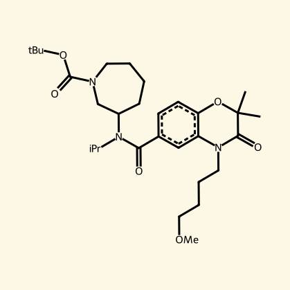 COCCCCN1C(=O)C(C)(C)Oc2ccc(C(=O)N(C(C)C)C3CCCCN(C(=O)OC(C)(C)C)C3)cc21